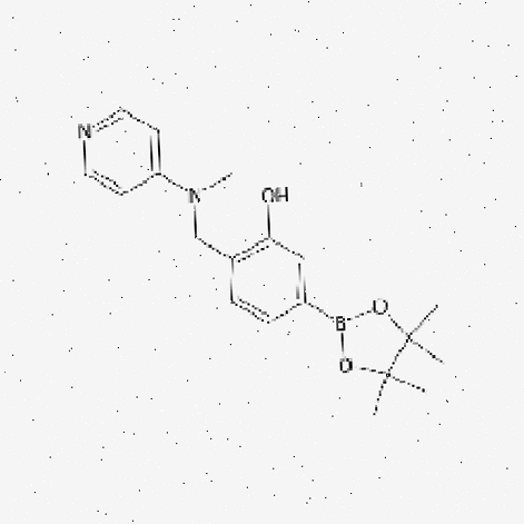 CN(Cc1ccc(B2OC(C)(C)C(C)(C)O2)cc1O)c1ccncc1